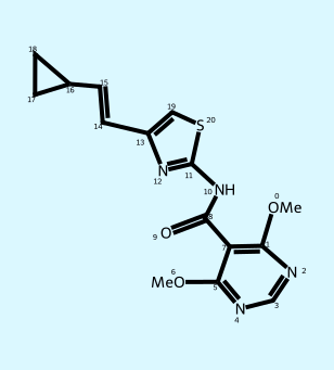 COc1ncnc(OC)c1C(=O)Nc1nc(C=CC2CC2)cs1